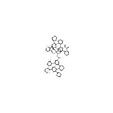 C=CC(=C)c1ccccc1-c1cc(-c2ccccc2-c2ccc(-c3ccccn3)cc2-c2ccccc2)cc(C2(C(C/C=C\C)CC(CC)c3cc(-c4ccccc4CC)cc(-c4ccccc4-c4ccc(-c5ccccn5)cc4-c4ccccc4)c3)C=C(Cl)C=CC2)c1